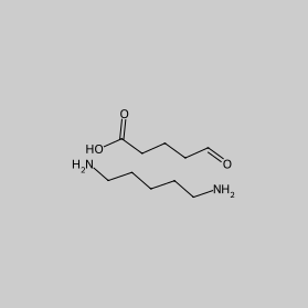 NCCCCCN.O=CCCCC(=O)O